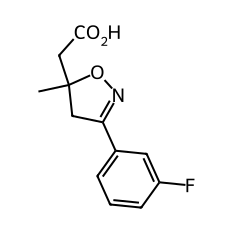 CC1(CC(=O)O)CC(c2cccc(F)c2)=NO1